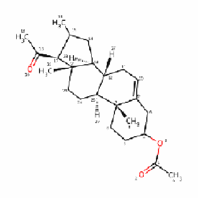 CC(=O)OC1CC[C@@]2(C)C(=CC[C@H]3[C@@H]4CC(C)[C@H](C(C)=O)[C@@]4(C)CC[C@@H]32)C1